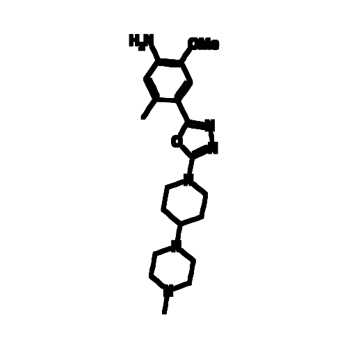 COc1cc(-c2nnc(N3CCC(N4CCN(C)CC4)CC3)o2)c(C)cc1N